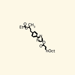 CCCCCCCCC=CC(=O)Oc1cnc(-c2ccc(CCC(C)OC(=O)CC)cc2)nc1